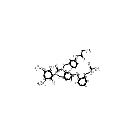 CCC(=O)Nc1cccc(CN2C(=O)N(c3c(Cl)c(OC)cc(OC)c3Cl)Cc3cnc(Nc4ccccc4CNC(C)=O)nc32)c1